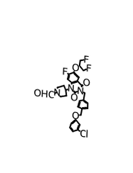 O=CN1CCC(n2c(=O)n(Cc3ccc(COc4cccc(Cl)c4)cc3)c(=O)c3cc(OC(CF)CF)c(F)cc32)CC1